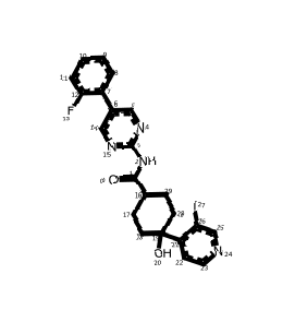 O=C(Nc1ncc(-c2ccccc2F)cn1)C1CCC(O)(c2ccncc2I)CC1